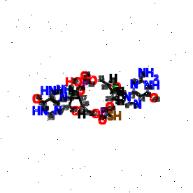 Nc1nc2c(ncn2[C@@H]2O[C@@H]3COP(=O)(O)O[C@@H]4[C@@H](COP(=O)(S)O[C@@H]2[C@@H]3F)OC[C@]4(F)N2NNc3c2nc[nH]c3=O)c(=O)[nH]1